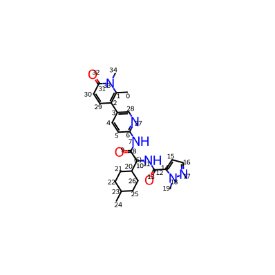 Cc1c(-c2ccc(NC(=O)[C@@H](NC(=O)c3ccnn3C)C3CCC(C)CC3)nc2)ccc(=O)n1C